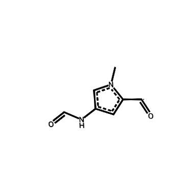 Cn1cc(NC=O)cc1[C]=O